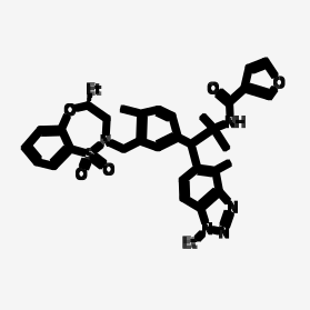 CC[C@@H]1CN(Cc2cc(C(c3ccc4c(nnn4CC)c3C)C(C)(C)NC(=O)c3ccoc3)ccc2C)S(=O)(=O)c2ccccc2O1